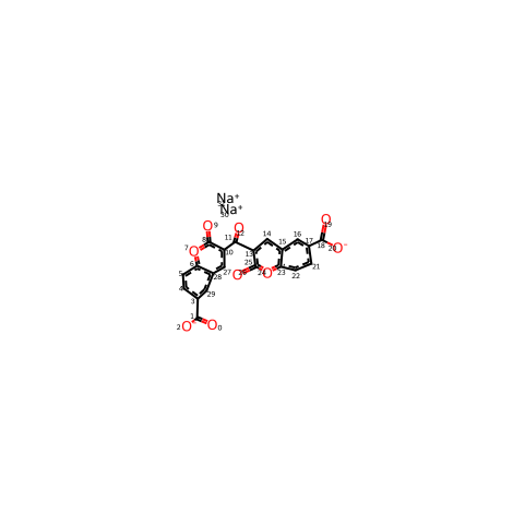 O=C([O-])c1ccc2oc(=O)c(C(=O)c3cc4cc(C(=O)[O-])ccc4oc3=O)cc2c1.[Na+].[Na+]